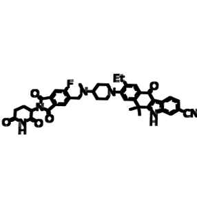 CCc1cc2c(cc1N1CCC(N(C)Cc3cc4c(cc3F)C(=O)N(C3CCC(=O)NC3=O)C4=O)CC1)C(C)(C)c1[nH]c3cc(C#N)ccc3c1C2=O